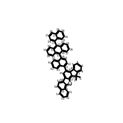 CC1(C)c2ccccc2-c2c(-c3ccc(-c4c5ccccc5c(-c5cccc6ccccc56)c5ccccc45)c4ccccc34)cc3c(oc4c5ccccc5ccc34)c21